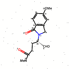 CNC(=O)CC[C@@H](C=O)N1Cc2cc(OC)ccc2C1=O